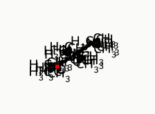 CC(=O)N(CCCCCCN(C(=O)CN(CCCCCCN(C)C1CC(C)(C)NC(C)(C)C1)C1CC(C)(C)NC(C)(C)C1)C1CC(C)(C)NC(C)(C)C1)C1CC(C)(C)NC(C)(C)C1